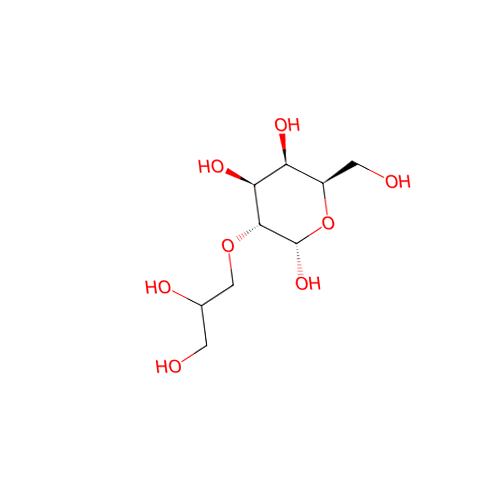 OCC(O)CO[C@@H]1[C@@H](O)[C@@H](O)[C@@H](CO)O[C@@H]1O